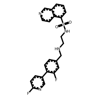 O=S(=O)(NCCNCc1ccc(-c2ccc(F)nc2)c(F)c1)c1cccc2cnccc12